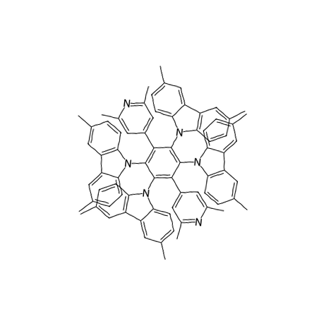 Cc1ccc2c(c1)c1cc(C)ccc1n2-c1c(-c2cc(C)nc(C)c2)c(-n2c3ccc(C)cc3c3cc(C)ccc32)c(-n2c3ccc(C)cc3c3cc(C)ccc32)c(-c2cc(C)nc(C)c2)c1-n1c2ccc(C)cc2c2cc(C)ccc21